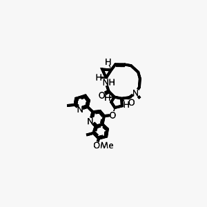 COc1ccc2c(O[C@@H]3C[C@H]4C(=O)N[C@@H]5C[C@H]5/C=C\CCCCN(C)C(=O)[C@@H]4C3)cc(-c3cccc(C)n3)nc2c1C